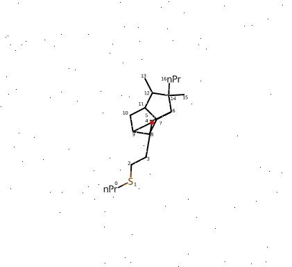 CCCSCCC1=CC2C3CC1CC3C(C)C2(C)CCC